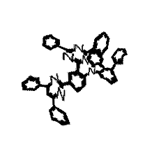 c1ccc(-c2cc(-c3ccccc3)nc(-c3ccc(-n4c5ccccc5c5c(-c6ccccc6)cccc54)c(-c4nc(-c5ccccc5)nc(-c5ccccc5)n4)c3)n2)cc1